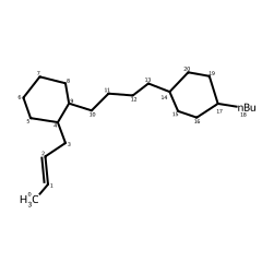 CC=CCC1CCCCC1CCCCC1CCC(CCCC)CC1